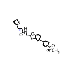 CS(=O)(=O)c1ccc(-c2ccc3c(c2)CC(CNC(=O)/C=C/c2cccs2)O3)cc1